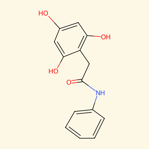 O=C(Cc1c(O)cc(O)cc1O)Nc1ccccc1